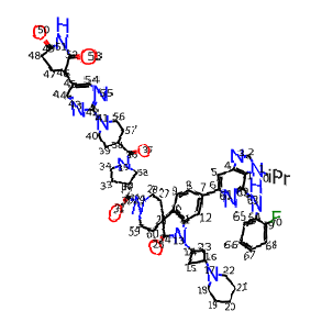 CC(C)n1cnc2cc(-c3ccc4c(c3)N(C3CC(N5CCCCC5)C3)C(=O)C43CCN(C(=O)[C@@H]4CCN(C(=O)C5CCN(c6ncc(C7CCC(=O)NC7=O)cn6)CC5)C4)CC3)nc(Nc3ccccc3F)c21